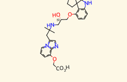 CC(C)(Cc1cnc2c(OCC(=O)O)cccn12)NC[C@H](O)COc1cccc2c1C1(CCCC1)C(=O)N2